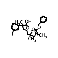 CN(CC(C)(C)CCC[C@@](C)(C(=O)O)c1cccc(I)c1)C(=O)OCc1ccccc1